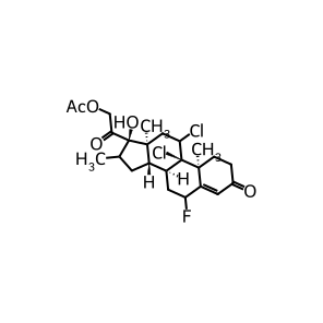 CC(=O)OCC(=O)[C@@]1(O)C(C)C[C@H]2[C@@H]3CC(F)C4=CC(=O)CC[C@]4(C)[C@@]3(Cl)C(Cl)C[C@@]21C